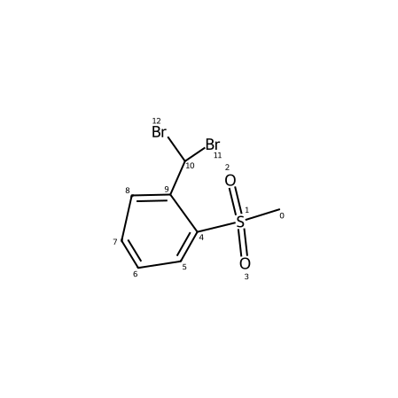 CS(=O)(=O)c1ccccc1C(Br)Br